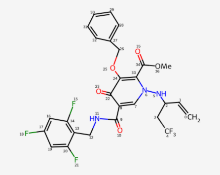 C=CC(CC(F)(F)F)Nn1cc(C(=O)NCc2c(F)cc(F)cc2F)c(=O)c(OCc2ccccc2)c1C(=O)OC